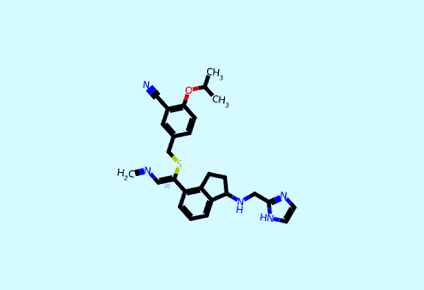 C=N/C=C(\SCc1ccc(OC(C)C)c(C#N)c1)c1cccc2c1CCC2NCc1ncc[nH]1